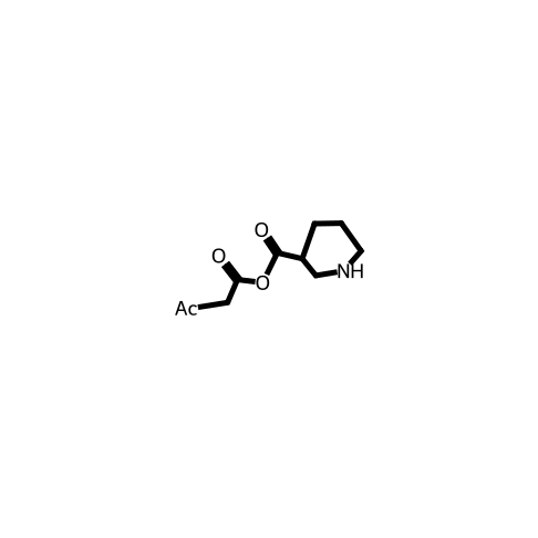 CC(=O)CC(=O)OC(=O)C1CCCNC1